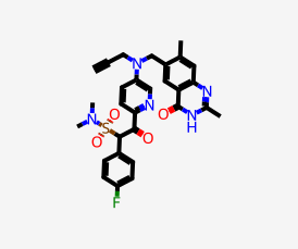 C#CCN(Cc1cc2c(=O)[nH]c(C)nc2cc1C)c1ccc(C(=O)C(c2ccc(F)cc2)S(=O)(=O)N(C)C)nc1